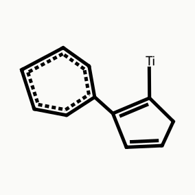 [Ti][C]1=C(c2ccccc2)C=CC1